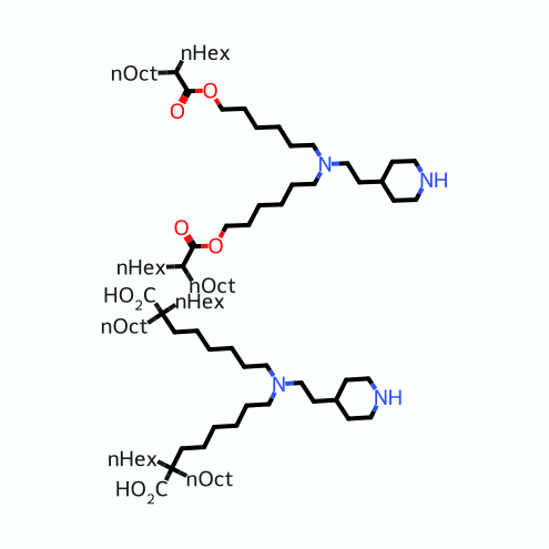 CCCCCCCCC(CCCCCC)(CCCCCCN(CCCCCCC(CCCCCC)(CCCCCCCC)C(=O)O)CCC1CCNCC1)C(=O)O.CCCCCCCCC(CCCCCC)C(=O)OCCCCCCN(CCCCCCOC(=O)C(CCCCCC)CCCCCCCC)CCC1CCNCC1